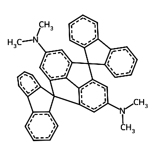 CN(C)c1cc2c3c(c1)C1(c4ccccc4-c4ccccc41)c1cc(N(C)C)cc(c1-3)C21c2ccccc2-c2ccccc21